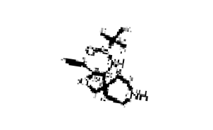 C=C[C@@H]1OCC2(CCNCC2)[C@@H]1N[S+]([O-])C(C)(C)C